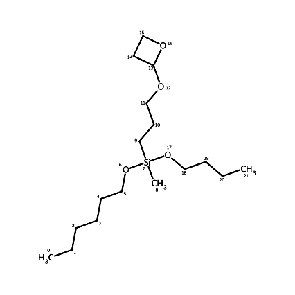 CCCCCCO[Si](C)(CCCOC1CCO1)OCCCC